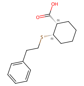 O=C(O)[C@@H]1CCCC[C@@H]1SCCc1ccccc1